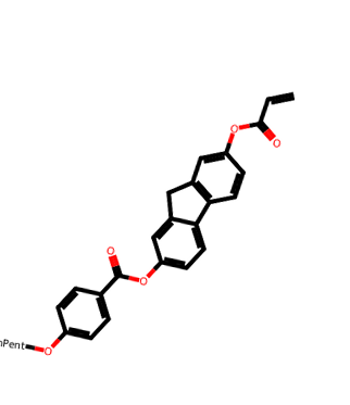 C=CC(=O)Oc1ccc2c(c1)Cc1cc(OC(=O)c3ccc(OCCCCC)cc3)ccc1-2